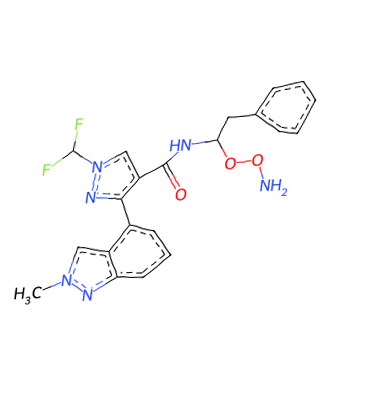 Cn1cc2c(-c3nn(C(F)F)cc3C(=O)NC(Cc3ccccc3)OON)cccc2n1